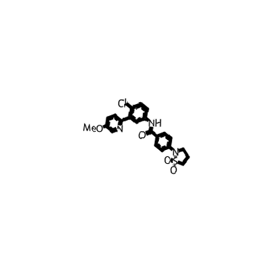 COc1ccc(-c2cc(NC(=O)c3ccc(N4CCCS4(=O)=O)cc3)ccc2Cl)nc1